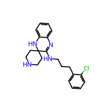 Clc1ccccc1CCCNC1=Nc2ccccc2NC12CCNCC2